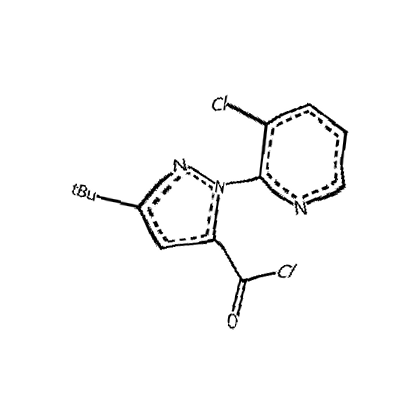 CC(C)(C)c1cc(C(=O)Cl)n(-c2ncccc2Cl)n1